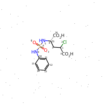 O=C(O)C(Cl)C[C@H](NS(=O)(=O)Nc1ccccc1)C(=O)O